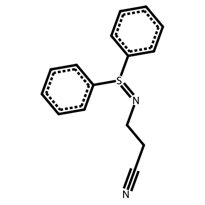 N#CCCN=S(c1ccccc1)c1ccccc1